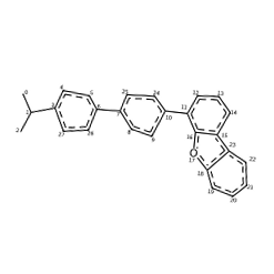 CC(C)c1ccc(-c2ccc(-c3cccc4c3oc3ccccc34)cc2)cc1